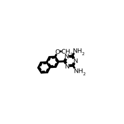 COc1cc2ccccc2cc1-c1nc(N)nc(N)n1